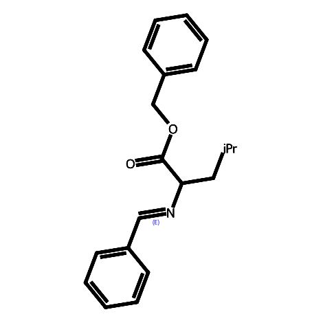 CC(C)CC(/N=C/c1ccccc1)C(=O)OCc1ccccc1